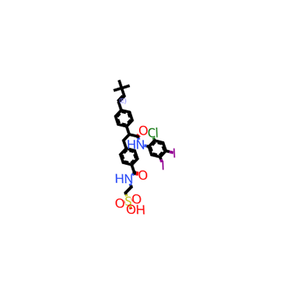 CC(C)(C)/C=C/c1ccc(C(Cc2ccc(C(=O)NCCS(=O)(=O)O)cc2)C(=O)Nc2cc(I)c(I)cc2Cl)cc1